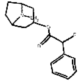 CN1C2CCC1CC(OC(=O)C(F)c1ccccc1)C2